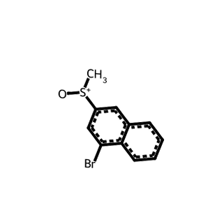 C[S+]([O-])c1cc(Br)c2ccccc2c1